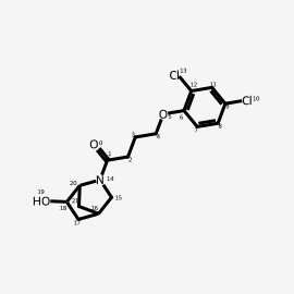 O=C(CCCOc1ccc(Cl)cc1Cl)N1CC2CC(O)C1C2